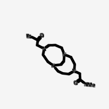 CCC(=O)CN1CCCN2CCN(CCCN(CC(=O)NC)CC2)CC1